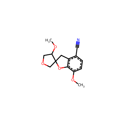 COc1ccc(C#N)c2c1OC1(COCC1OC)C2